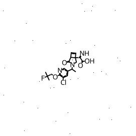 CC(c1cnc(OCC(C)(C)F)c(Cl)c1)N1CC2(C(=N)C(=O)O)C=CC2C1=O